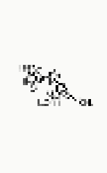 C=CC(=O)Nc1cc(-c2nccc(-c3cc4c([nH]3)C3(CCCNC3)CNC4=O)n2)ccc1OCCOC